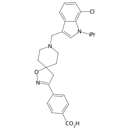 CC(C)n1cc(CN2CCC3(CC2)CC(c2ccc(C(=O)O)cc2)=NO3)c2cccc(Cl)c21